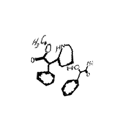 COC(=O)C(c1ccccc1)C1CCCCN1.O=C(O)C(O)c1ccccc1